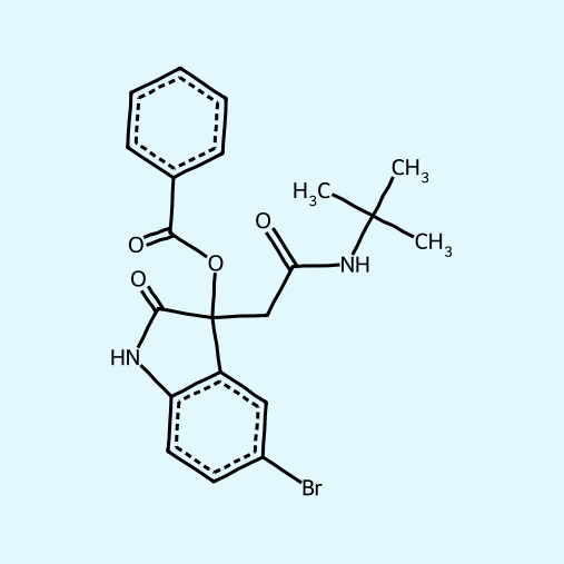 CC(C)(C)NC(=O)CC1(OC(=O)c2ccccc2)C(=O)Nc2ccc(Br)cc21